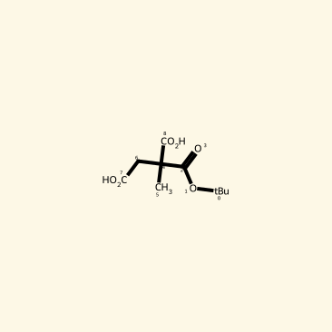 CC(C)(C)OC(=O)C(C)(CC(=O)O)C(=O)O